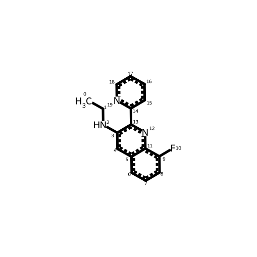 CCNc1cc2cccc(F)c2nc1-c1ccccn1